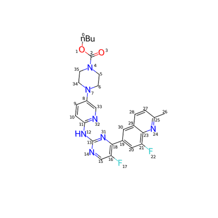 CCCCOC(=O)N1CCN(c2ccc(Nc3ncc(F)c(-c4cc(F)c5nc(C)ccc5c4)n3)nc2)CC1